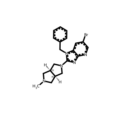 CN1C[C@@H]2CN(c3nc4ncc(Br)cc4n3Cc3ccccc3)C[C@@H]2C1